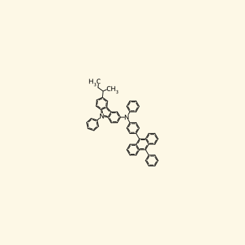 CCC(C)c1ccc2c(c1)c1cc(N(c3ccccc3)c3ccc(-c4c5ccccc5c(-c5ccccc5)c5ccccc45)cc3)ccc1n2-c1ccccc1